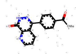 COC(=O)c1ccc(-c2n[nH]c(=O)c3ncccc23)cc1